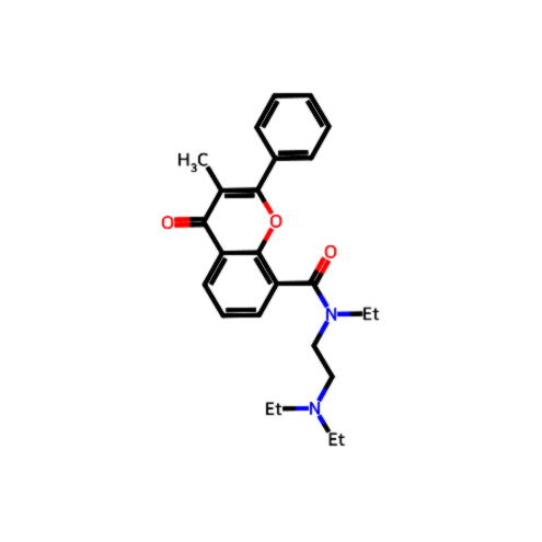 CCN(CC)CCN(CC)C(=O)c1cccc2c(=O)c(C)c(-c3ccccc3)oc12